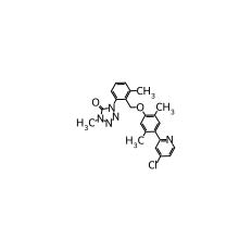 Cc1cc(-c2cc(Cl)ccn2)c(C)cc1OCc1c(C)cccc1-n1nnn(C)c1=O